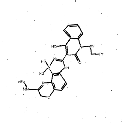 CCCCNC1=Nc2c(ccc3c2S(O)(O)N=C(c2c(O)c4ccccc4n(NCC(C)C)c2=O)N3)OC1